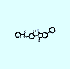 O=C(Nc1ccc(N2C(=O)c3ccc(-c4ccccc4)cc3C2=O)c(Cl)c1)c1ccccn1